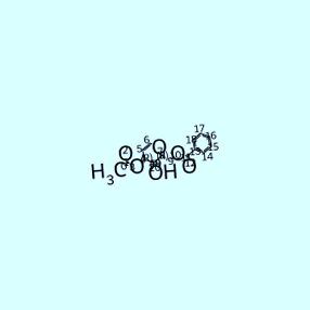 CC(=O)O[C@@H]1C=CO[C@H](COC(=O)c2ccccc2)[C@@H]1O